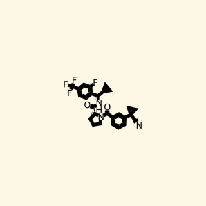 N#CC1(c2cccc(C(=O)N3CCC[C@@H]3C(=O)N[C@@H](c3ccc(C(F)(F)F)cc3F)C3CC3)c2)CC1